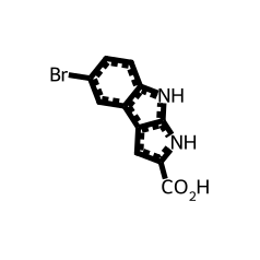 O=C(O)c1cc2c([nH]1)[nH]c1ccc(Br)cc12